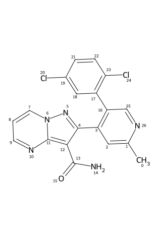 Cc1cc(-c2nn3cccnc3c2C(N)=O)c(-c2cc(Cl)ccc2Cl)cn1